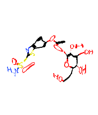 CC(Oc1ccc2nc(S(N)(=O)=O)sc2c1)O[C@@H]1O[C@H](CO)[C@@H](O)[C@H](O)[C@H]1O